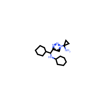 NC1(n2cc([C@@H](NC3CCCCC3)C3CCCCC3)nn2)CC1